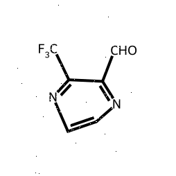 O=Cc1nccnc1C(F)(F)F